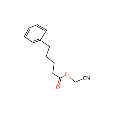 N#CCOC(=O)CCCCc1ccccc1